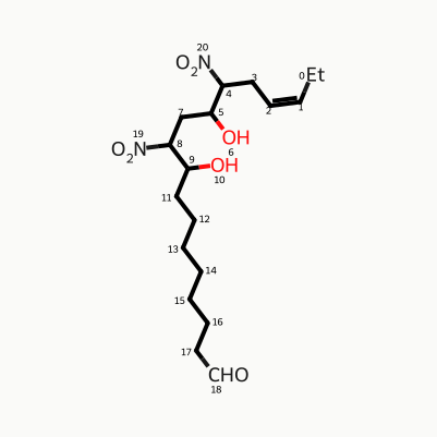 CC/C=C\CC(C(O)CC(C(O)CCCCCCCC=O)[N+](=O)[O-])[N+](=O)[O-]